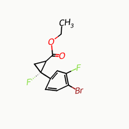 CCOC(=O)C1C[C@]1(F)c1ccc(Br)c(F)c1